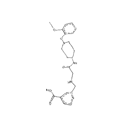 COc1ccccc1ON1CCC(NC(=O)CNCc2cc(C(=O)O)ccn2)CC1